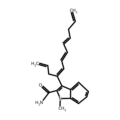 C=CCC=CC=CC=C(CC=C)c1c(C(N)=O)n(C)c2ccccc12